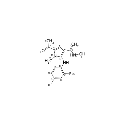 C=C(NO)c1cc(C(C)=O)n(C)c1Nc1ccc(I)cc1F